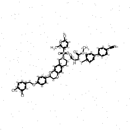 COC(=O)[C@H](Cc1ccc(-c2ccc(C#N)cc2)cc1)NC(=O)[C@@H]1Cc2cc3c(cc2CN1S(=O)(=O)c1ccc(Cl)nc1C)OC(c1ccc(OCc2ccc(Cl)c(Cl)c2)cc1)CO3